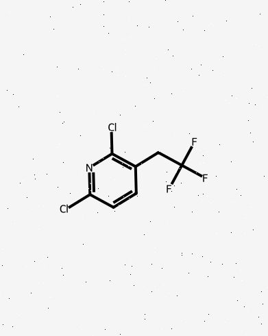 FC(F)(F)Cc1ccc(Cl)nc1Cl